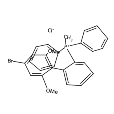 COc1cc(Br)cc(OC)c1-c1ccccc1[P+](C)(c1ccccc1)c1ccccc1.[Cl-]